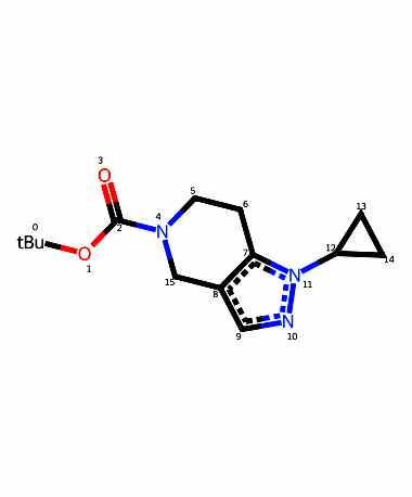 CC(C)(C)OC(=O)N1CCc2c(cnn2C2CC2)C1